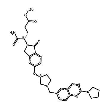 CC(C)(C)OC(=O)CC[C@@H](C(N)=O)N1Cc2cc(O[C@H]3CCN(Cc4ccc5nc(N6CCCC6)ncc5c4)C3)ccc2C1=O